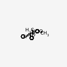 COc1ccc(N(C)C(=O)CN(CCN2CCCCC2)c2ccccc2)cc1